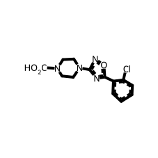 O=C(O)N1CCN(c2noc(-c3ccccc3Cl)n2)CC1